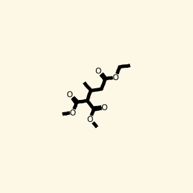 CCOC(=O)CC(C)C(C(=O)OC)C(=O)OC